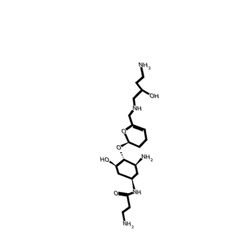 NCCC(=O)N[C@H]1C[C@@H](O)[C@H](O[C@@H]2CCC=C(CNCC(O)CCN)O2)[C@@H](N)C1